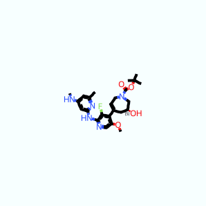 CNc1cc(C)nc(Nc2ncc(OC)c(C3=CCN(C(=O)OC(C)(C)C)C[C@@H](O)C3)c2F)c1